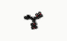 c1ccc2c(c1)-c1ccccc1C21c2ccccc2-c2ccc(-c3ccc4c(c3)c3cc(-c5ccc6c(c5)C5(c7ccccc7-c7ccccc75)c5ccccc5-6)ccc3n4-c3ccc(-c4nnc5c6ccccc6ccn45)cc3)cc21